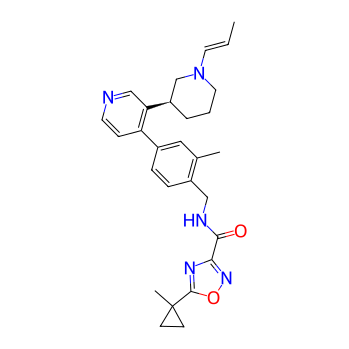 CC=CN1CCC[C@@H](c2cnccc2-c2ccc(CNC(=O)c3noc(C4(C)CC4)n3)c(C)c2)C1